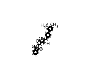 Cc1ccc(-c2ccc(CCC(O)C(CCN3C(=O)c4ccccc4C3=O)C(=O)O)cc2)cc1C